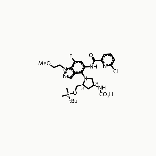 COCCn1ncc2c(N3C[C@@H](NC(=O)O)C[C@H]3CO[Si](C)(C)C(C)(C)C)c(NC(=O)c3cccc(Cl)n3)cc(F)c21